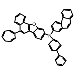 C1=CCC=CC(c2cc3c4ccc(N(c5ccc(-c6ccccc6)cc5)c5ccc6c(ccc7ccccc76)c5)cc4oc3c3ccccc23)=C1